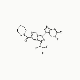 O=C(c1cc2c(cn1)c(-c1cnc3cc(Cl)c(F)cn13)nn2C(F)C(F)F)N1CCCCCC1